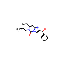 C=CCn1c(SC)cc2nc(C(=O)c3ccccc3)cn2c1=O